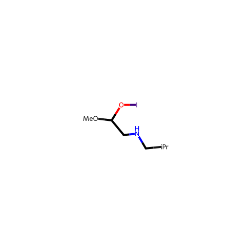 COC(CNCC(C)C)OI